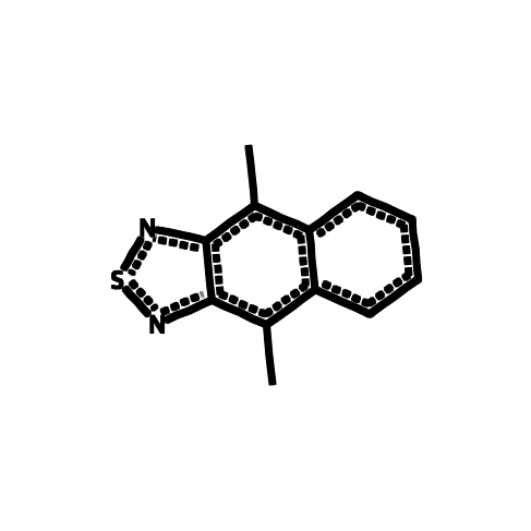 Cc1c2ccccc2c(C)c2nsnc12